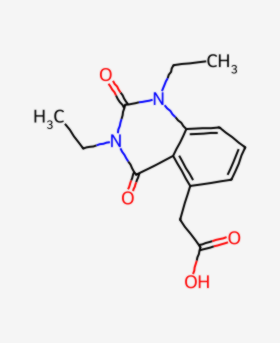 CCn1c(=O)c2c(CC(=O)O)cccc2n(CC)c1=O